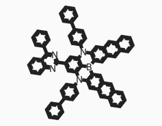 c1ccc(-c2ccc(N3c4cc5cc6ccccc6cc5cc4B4c5cc6cc7ccccc7cc6cc5N(c5ccc(-c6ccccc6)cc5)c5cc(-c6nc(-c7ccccc7)c7ccccc7n6)cc3c54)cc2)cc1